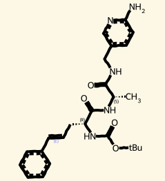 C[C@H](NC(=O)[C@@H](C/C=C/c1ccccc1)NC(=O)OC(C)(C)C)C(=O)NCc1ccc(N)nc1